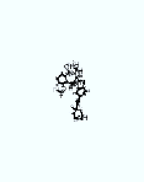 [2H]C([2H])([2H])N1C(=O)c2cccc(OC(F)F)c2[C@H]2C[C@@H]1c1nc3ccc(C#CC4(C)CCNCC4)cc3n12